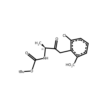 C[C@H](NC(=O)OC(C)(C)C)C(=O)Cc1c(Cl)cccc1C(=O)O